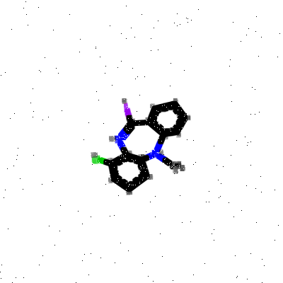 CN1c2ccccc2C(I)=Nc2c(Cl)cccc21